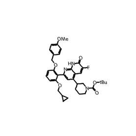 COc1ccc(COc2cccc(OCC3CC3)c2-c2cc(C3CCCN(C(=O)OC(C)(C)C)C3)c3cc(F)c(=O)[nH]c3n2)cc1